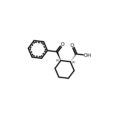 O=C(O)[C@@H]1CCCC[C@H]1C(=O)c1ccccc1